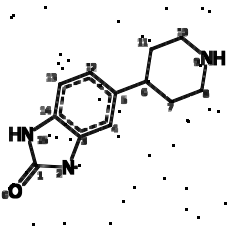 O=C1[N]c2cc(C3CCNCC3)ccc2N1